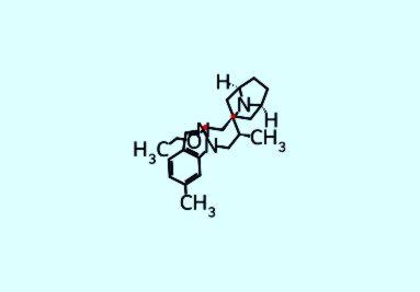 CCOCC[C@H]1C[C@H]2CC[C@@H](C1)N2C[C@@H](C)Cn1ncc2ccc(C)cc21